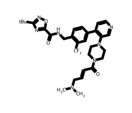 CN(C)CC=CC(=O)N1CCN(c2cnccc2-c2ccc(CNC(=O)c3nc(C(C)(C)C)no3)c(C(F)(F)F)c2)CC1